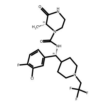 C[C@@H]1C(=O)NCCN1C(=O)N[C@@H](c1ccc(F)c(Cl)c1)C1CCN(CC(F)(F)F)CC1